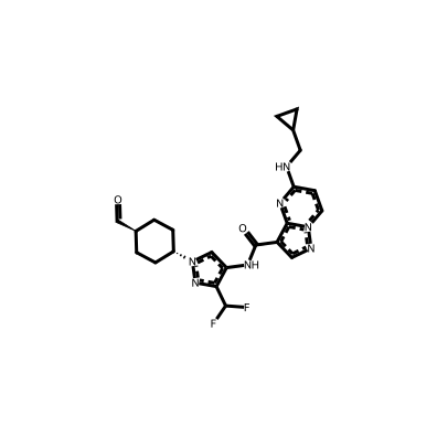 O=C[C@H]1CC[C@H](n2cc(NC(=O)c3cnn4ccc(NCC5CC5)nc34)c(C(F)F)n2)CC1